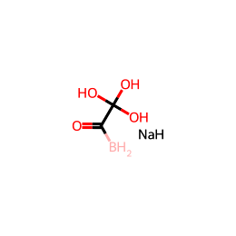 BC(=O)C(O)(O)O.[NaH]